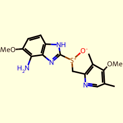 COc1ccc2[nH]c([S+]([O-])Cc3ncc(C)c(OC)c3C)nc2c1N